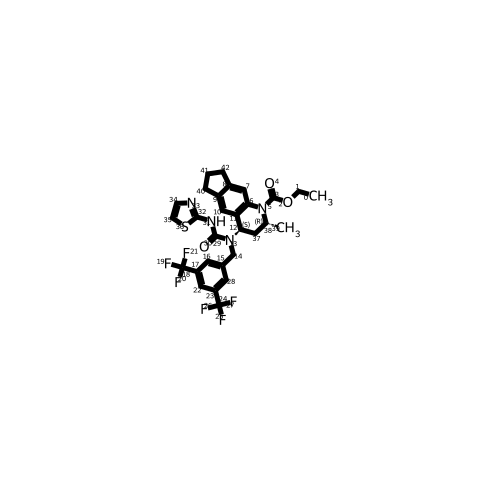 CCOC(=O)N1c2cc3c(cc2[C@@H](N(Cc2cc(C(F)(F)F)cc(C(F)(F)F)c2)C(=O)Nc2nccs2)C[C@H]1C)CCC3